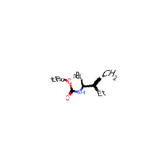 C=C(CC)C(CCCC)NC(=O)OC(C)(C)C